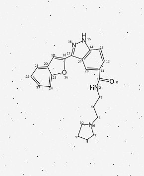 O=C(NCCCN1CCCC1)c1ccc2[nH]nc(-c3cc4ccccc4o3)c2c1